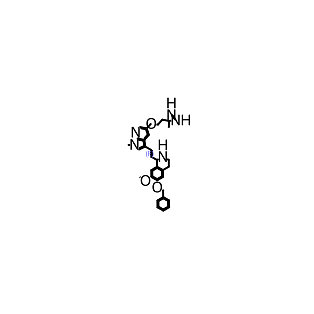 COc1cc2c(cc1OCc1ccccc1)CCNC2/C=C/c1cn(C)c2ncc(OCCC3(C)NN3)cc12